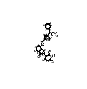 C[C@H](c1ccccc1)n1cc(COc2cccc3c2CN(C2CCC(=O)NC2=O)C3=O)[nH]1